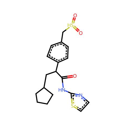 O=C(Nc1nccs1)C(CC1CCCC1)c1ccc(C[SH](=O)=O)cc1